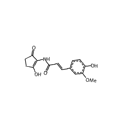 COc1cc(/C=C/C(=O)NC2=C(O)CCC2=O)ccc1O